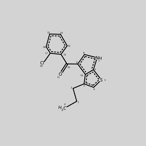 CCCc1csc2[nH]cc(C(=O)c3ccccc3Cl)c12